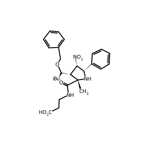 CC[C@H](C)C(OCc1ccccc1)[C@@H]1[C@H]([N+](=O)[O-])[C@H](c2ccccc2)N[C@]1(C)C(=O)NCCC(=O)O